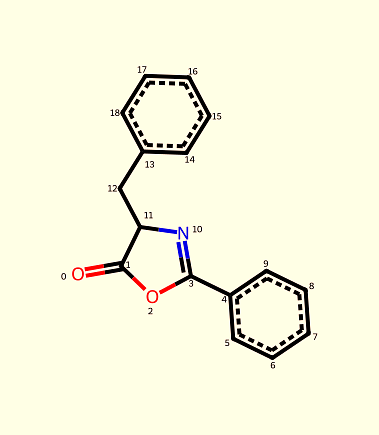 O=C1OC(c2ccccc2)=NC1Cc1ccccc1